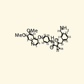 COc1cc2nccc(Oc3ccc(NC(=O)C4(C(=O)Cc5cccc(CN)c5)CC4)cc3)c2cc1OC